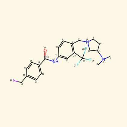 CN(C)C1CCN(Cc2ccc(NC(=O)c3ccc(CI)cc3)cc2C(F)(F)F)C1